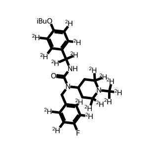 [2H]c1c([2H])c(CN(C(=O)NC([2H])([2H])c2c([2H])c([2H])c(OCC(C)C)c([2H])c2[2H])C2CC([2H])([2H])N(C([2H])([2H])[2H])C([2H])([2H])C2)c([2H])c([2H])c1F